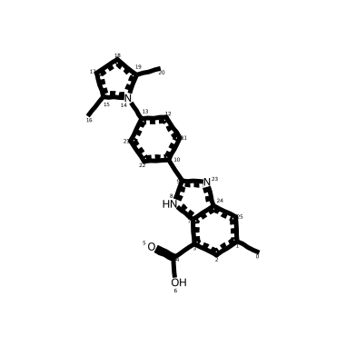 Cc1cc(C(=O)O)c2[nH]c(-c3ccc(-n4c(C)ccc4C)cc3)nc2c1